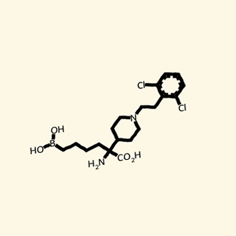 NC(CCCCB(O)O)(C(=O)O)C1CCN(CCc2c(Cl)cccc2Cl)CC1